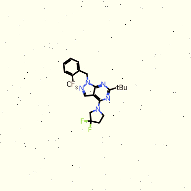 CC(C)(C)c1nc(N2CCC(F)(F)C2)c2cnn(Cc3ccccc3C(F)(F)F)c2n1